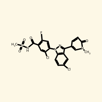 Cn1cc(-c2nn(-c3cc(F)c(C(=O)NS(C)(=O)=O)cc3Cl)c3ccc(Cl)cc23)ccc1=O